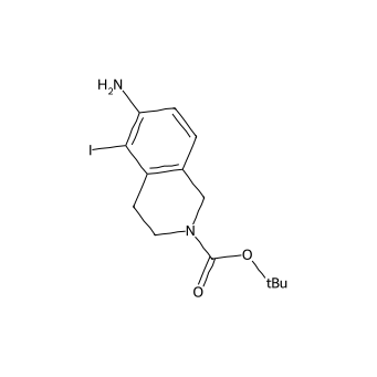 CC(C)(C)OC(=O)N1CCc2c(ccc(N)c2I)C1